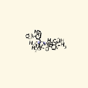 C=N/C(C)=C(\C=C(/C)NC(=O)c1ccnc(C(C)(C)O)c1)c1cc(N2CCOCC2)c2nccn2c1